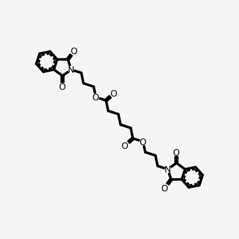 O=C(CCCCC(=O)OCCCN1C(=O)c2ccccc2C1=O)OCCCN1C(=O)c2ccccc2C1=O